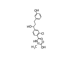 C[C@H](NC(=O)c1ccc(C(O)CCc2cccc(O)c2)cc1Cl)C(=O)O